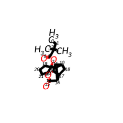 CCC(C)(C)C(=O)OC1(C2C3CC4OC(=O)C2C4C3)CCCC1